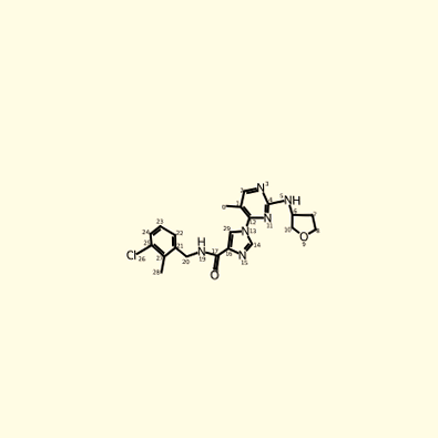 Cc1cnc(NC2CCOC2)nc1-n1cnc(C(=O)NCc2cccc(Cl)c2C)c1